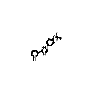 FC(F)(F)Oc1ccc(-n2cnc(C3=CCCNC3)n2)cc1